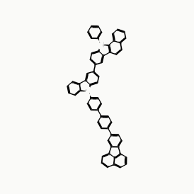 c1ccc(-n2c3ccc(-c4ccc5c(c4)c4ccccc4n5-c4ccc(-c5ccc(-c6ccc7c(c6)-c6cccc8cccc-7c68)cc5)cc4)cc3c3ccc4ccccc4c32)cc1